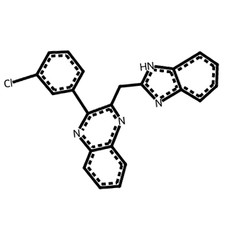 Clc1cccc(-c2nc3ccccc3nc2Cc2nc3ccccc3[nH]2)c1